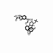 COC(=O)c1nc2cc(NC(=O)[C@@H]3N[C@@H](CC(C)(C)C)[C@](C)(c4ccc(Cl)cc4F)[C@H]3c3cccc(Cl)c3F)ccc2[nH]1